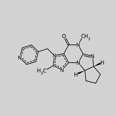 Cc1nc2c(n1Cc1ccncc1)C(=O)N(C)C1=N[C@@H]3CCC[C@@H]3N12